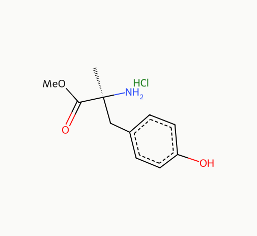 COC(=O)[C@@](C)(N)Cc1ccc(O)cc1.Cl